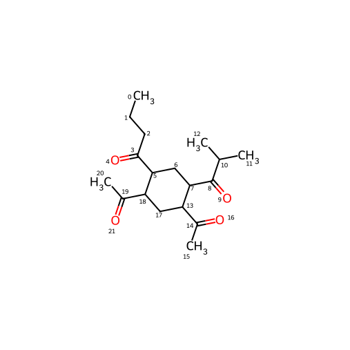 CCCC(=O)C1CC(C(=O)C(C)C)C(C(C)=O)CC1C(C)=O